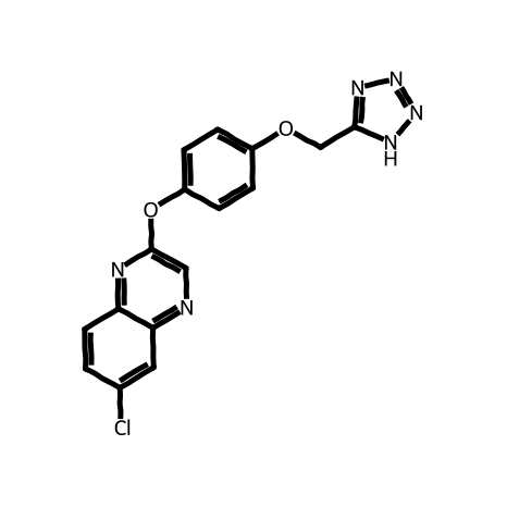 Clc1ccc2nc(Oc3ccc(OCc4nnn[nH]4)cc3)cnc2c1